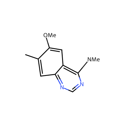 CNc1ncnc2cc(C)c(OC)cc12